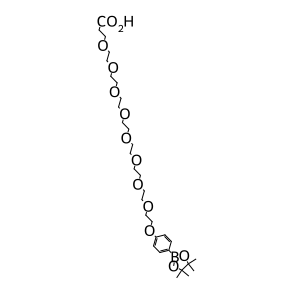 CC1(C)OB(c2ccc(OCCOCCOCCOCCOCCOCCOCCOCCOCCC(=O)O)cc2)OC1(C)C